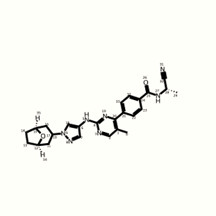 Cc1cnc(Nc2cnn(C3C[C@H]4CC[C@@H](C3)O4)c2)nc1-c1ccc(C(=O)N[C@@H](C)C#N)cc1